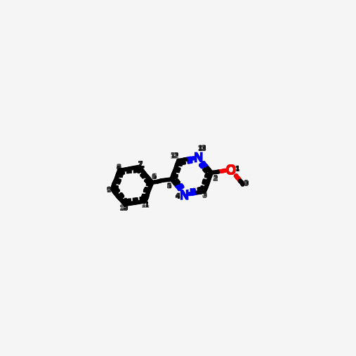 COc1cnc(-c2[c]cccc2)cn1